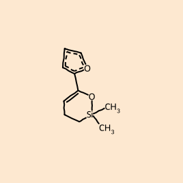 C[Si]1(C)CCC=C(c2ccco2)O1